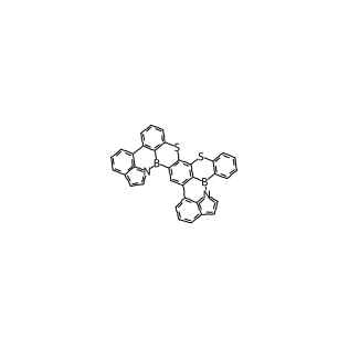 c1ccc2c(c1)Sc1c3c(cc4c1B2n1ccc2cccc-4c21)B1c2c(cccc2-c2cccc4ccn1c24)S3